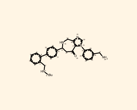 CC(C)(C)NCc1ccccc1-c1ccc(C2CC(=O)c3c(ncn3-c3cccc(CN)c3)CN2)cc1